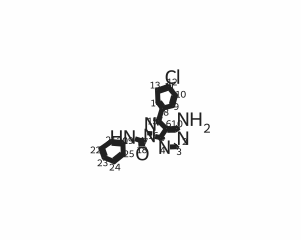 Nc1ncnc2c1c(-c1ccc(Cl)cc1)nn2C(=O)Nc1ccccc1